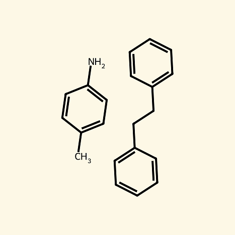 Cc1ccc(N)cc1.c1ccc(CCc2ccccc2)cc1